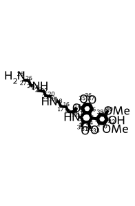 COc1cc(C2c3cc4c(cc3C(NC(=O)CCCCNCCCCNCCCN)C3COC(=O)C23)OCO4)cc(OC)c1O